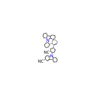 N#Cc1ccc2c(c1)c1ccccc1n2-c1ccc(C2=CCCCC2c2ccccc2-n2c3ccccc3c3ccccc32)cc1C#N